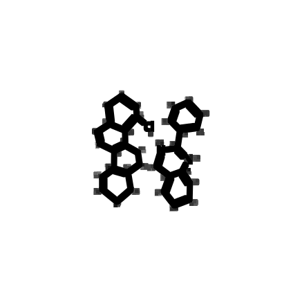 Clc1cccc2ccc3c(c12)CCC1=C3C=CCC1.c1ccc(-c2ncc3ccccc3n2)cc1